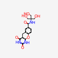 O=C(NC(CO)(CO)CO)c1ccc2c(c1)Cc1c([nH]c(=O)[nH]c1=O)O2